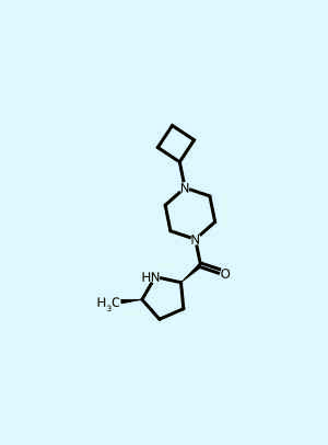 C[C@@H]1CC[C@H](C(=O)N2CCN(C3CCC3)CC2)N1